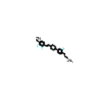 CCCCc1ccc(C2CCC(/C=C/c3ccc(CC)c(F)c3F)CC2)cc1F